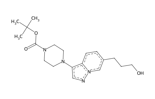 CC(C)(C)OC(=O)N1CCN(c2cnn3cc(CCCO)ccc23)CC1